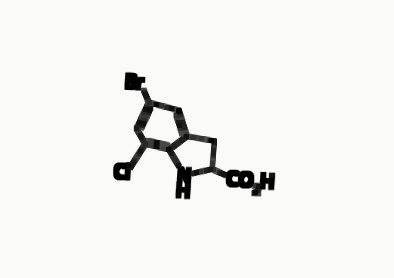 O=C(O)C1Cc2cc(Br)cc(Cl)c2N1